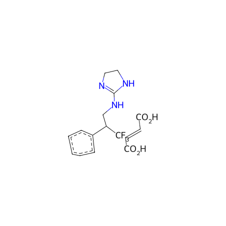 FC(F)(F)C(CNC1=NCCN1)c1ccccc1.O=C(O)C=CC(=O)O